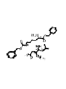 CC(C)C[C@H](N)[C@@H](O)CC(=O)O.Cl.N[C@@H](CCCCNC(=O)OCc1ccccc1)C(=O)OCc1ccccc1